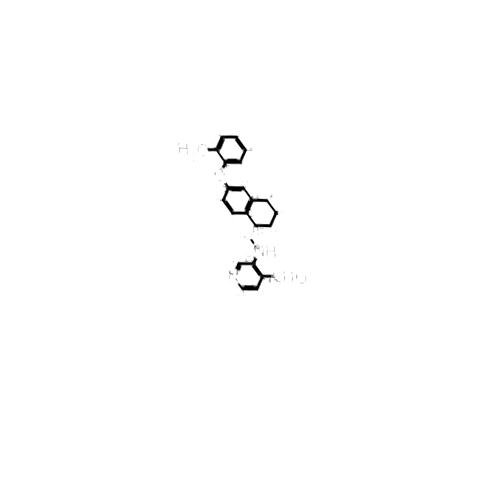 Cc1ccccc1Oc1ccc2c(c1)CCC[C@@H]2CNc1cnccc1C=O